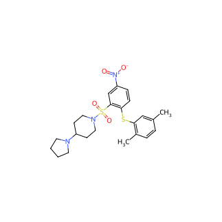 Cc1ccc(C)c(Sc2ccc([N+](=O)[O-])cc2S(=O)(=O)N2CCC(N3CCCC3)CC2)c1